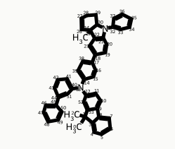 CC1(C)c2ccccc2-c2ccc(N(c3ccc(-c4ccc5c(c4)C4(C)C=CCCC4N5c4ccccc4)cc3)c3cccc(-c4ccccc4)c3)cc21